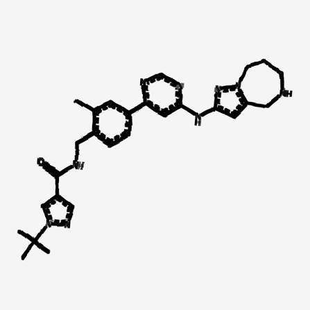 Cc1cc(-c2cc(Nc3cc4n(n3)CCCNC4)ncn2)ccc1CNC(=O)c1cnn(C(C)(C)C)c1